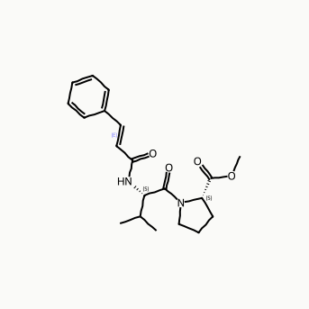 COC(=O)[C@@H]1CCCN1C(=O)[C@@H](NC(=O)/C=C/c1ccccc1)C(C)C